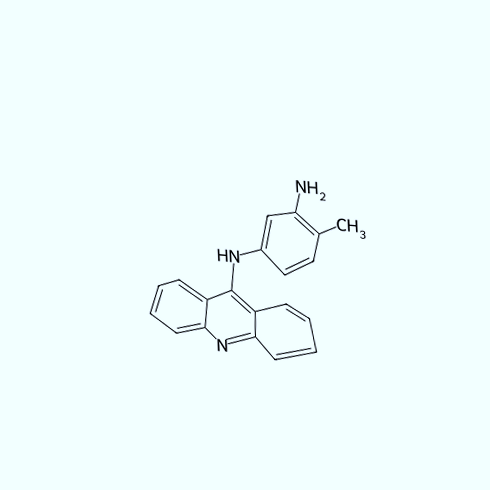 Cc1ccc(Nc2c3ccccc3nc3ccccc23)cc1N